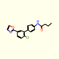 CCCC(=O)Nc1ccc(-c2cc(-c3ncco3)ccc2Cl)cc1